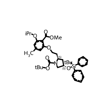 COC(=O)c1c(OCC[C@H]2C[C@H](O[Si](c3ccccc3)(c3ccccc3)C(C)(C)C)CN2C(=O)OC(C)(C)C)cc(C)cc1OC(C)C